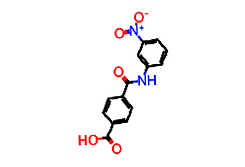 O=C(O)c1ccc(C(=O)Nc2cccc([N+](=O)[O-])c2)cc1